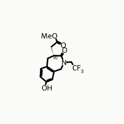 COC(=O)C[C@H]1Cc2ccc(O)cc2CN(CC(F)(F)F)C1=O